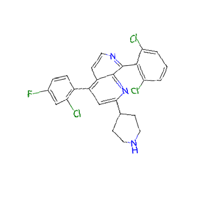 Fc1ccc(-c2cc(C3CCNCC3)nc3c(-c4c(Cl)cccc4Cl)nccc23)c(Cl)c1